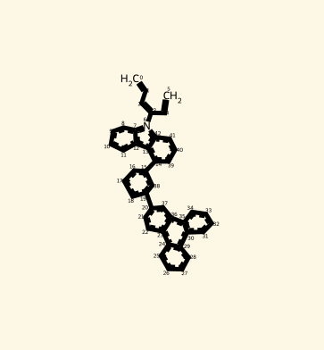 C=C/C=C(\C=C)n1c2ccccc2c2c(-c3cccc(-c4ccc5c6ccccc6c6ccccc6c5c4)c3)cccc21